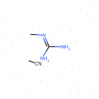 CC#N.CN=C(N)N